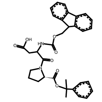 CC(C)(OC(=O)[C@@H]1CCCN1C(=O)C(CC(=O)O)NC(=O)OCC1c2ccccc2-c2ccccc21)c1ccccc1